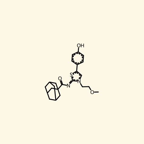 COCCn1cc(-c2ccc(O)cc2)sc1=NC(=O)C12CC3CC(CC(C3)C1)C2